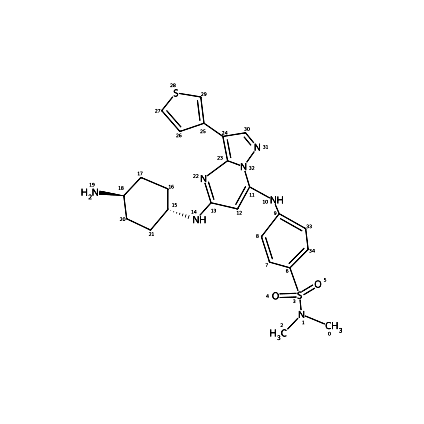 CN(C)S(=O)(=O)c1ccc(Nc2cc(N[C@H]3CC[C@H](N)CC3)nc3c(-c4ccsc4)cnn23)cc1